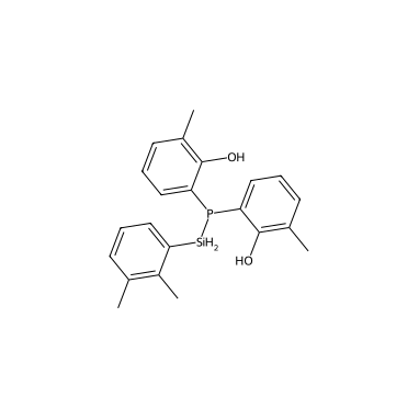 Cc1cccc([SiH2]P(c2cccc(C)c2O)c2cccc(C)c2O)c1C